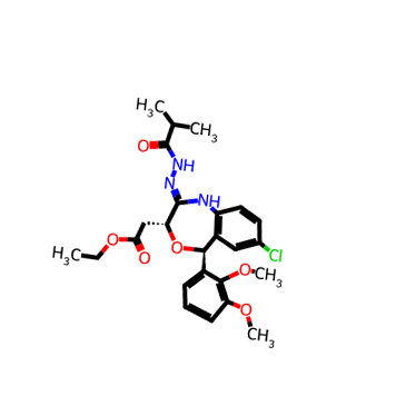 CCOC(=O)C[C@H]1O[C@H](c2cccc(OC)c2OC)c2cc(Cl)ccc2NC1=NNC(=O)C(C)C